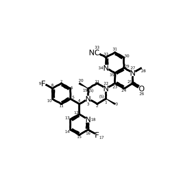 C[C@H]1CN(C(c2ccc(F)cc2)c2cccc(F)n2)[C@@H](C)CN1c1cc(=O)n(C)c2ccc(C#N)nc12